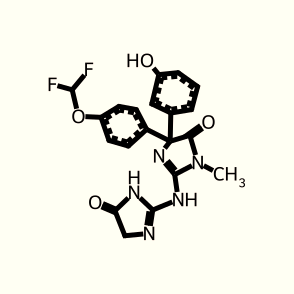 CN1C(=O)C(c2ccc(OC(F)F)cc2)(c2cccc(O)c2)N=C1NC1=NCC(=O)N1